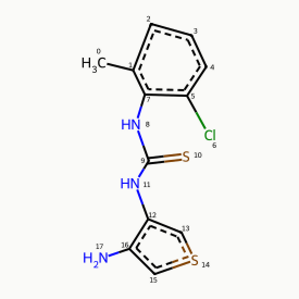 Cc1cccc(Cl)c1NC(=S)Nc1cscc1N